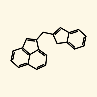 C1=C(CC2=Cc3cccc4cccc2c34)Cc2ccccc21